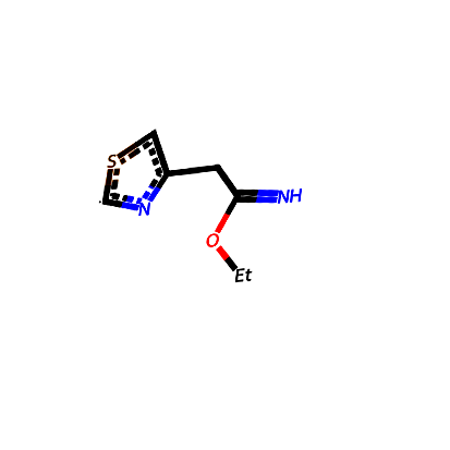 CCOC(=N)Cc1cs[c]n1